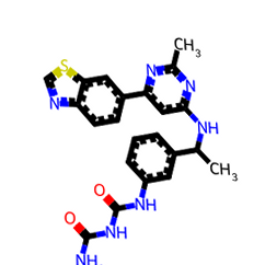 Cc1nc(NC(C)c2cccc(NC(=O)NC(N)=O)c2)cc(-c2ccc3ncsc3c2)n1